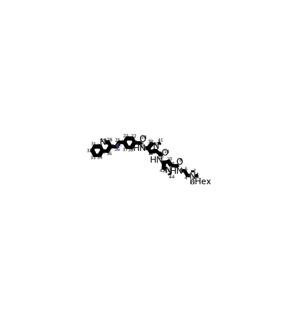 CCCCCC[N+](C)(C)CCNC(=O)c1cc(NC(=O)c2cc(NC(=O)c3ccc(/C=C/c4cnc5ccccc5c4)cc3)cn2C)cn1C